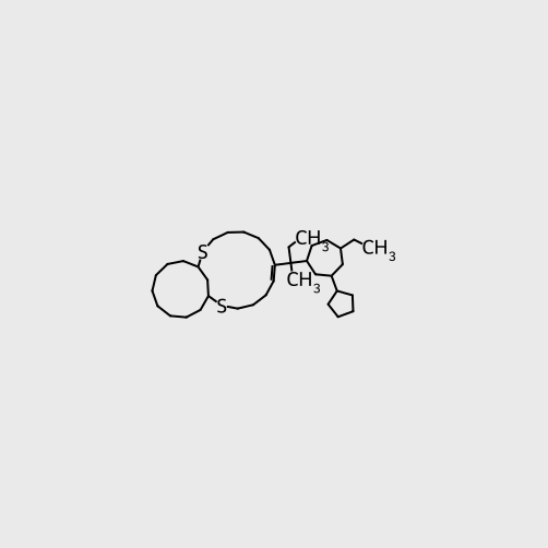 CCC1CCC(C(C)(CC)/C2=C/CCCSC3CCCCCCCCC(C3)SCCCCC2)CC(C2CCCC2)C1